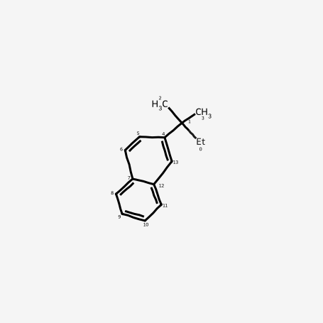 CCC(C)(C)c1ccc2ccccc2c1